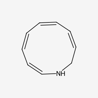 C1=CC=CCNC=CC=C1